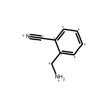 N#Cc1ccccc1CN